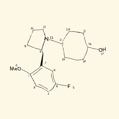 COc1ccc(F)cc1[C@H]1CCCN1[C]1CCC(O)CC1